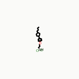 CCCCC1CCC(c2ccc(OCCC[SiH](Cl)Cl)cc2)CC1